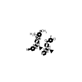 COc1ccc(S(=O)(=O)N2CCN(c3nc4cc(C#N)ccc4nc3NC3CC3)CC2)c(OC)c1.O=C(c1ccc(Cl)c(F)c1)N1CCN(c2nc3cnccc3nc2NC2CC2)CC1